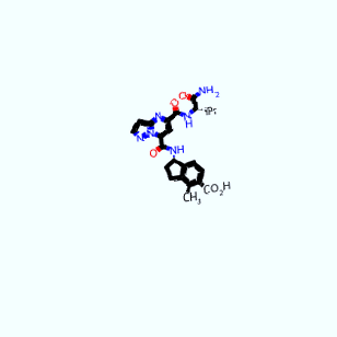 Cc1c(C(=O)O)ccc2c1CC[C@@H]2NC(=O)c1cc(C(=O)N[C@H](C(N)=O)C(C)C)nc2ccnn12